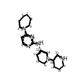 c1cc(N2CCCCCC2)nc(N[C@H]2CCCN(C3CCCNC3)C2)n1